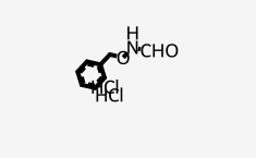 Cl.Cl.O=CNOCc1ccccc1